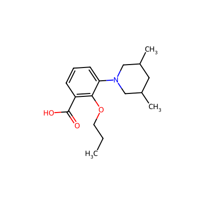 CCCOc1c(C(=O)O)cccc1N1CC(C)CC(C)C1